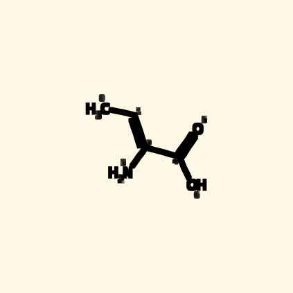 C/C=C(\N)C(=O)O